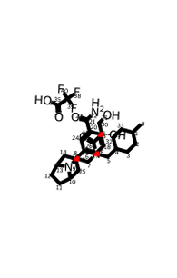 CC1CCC(CN(CCN2C3CCC2CC(c2cccc(C(N)=O)c2)C3)C(=O)[C@@H](O)CO)CC1.O=C(O)C(F)(F)F